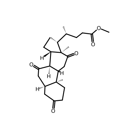 COC(=O)CC[C@@H](C)[C@H]1CC[C@H]2[C@@H]3C(=O)C[C@@H]4CC(=O)CC[C@]4(C)[C@H]3CC(=O)[C@]12C